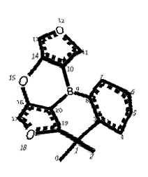 CC1(C)c2ccccc2B2c3cocc3Oc3coc1c32